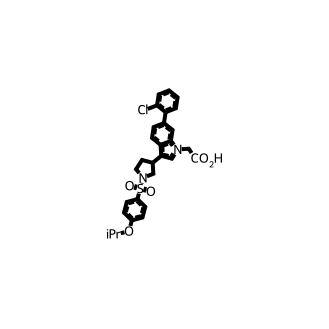 CC(C)Oc1ccc(S(=O)(=O)N2CCC(c3cn(CC(=O)O)c4cc(-c5ccccc5Cl)ccc34)C2)cc1